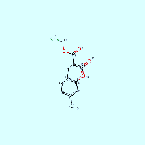 Cc1ccc2cc(C(=O)OCCl)c(=O)oc2c1